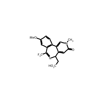 COc1ccc2c(c1)C(C(F)(F)F)=NC(CC(=O)O)c1cc(=O)n(C)cc1-2